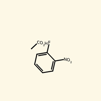 CC(=O)O.O=[N+]([O-])c1ccccc1F